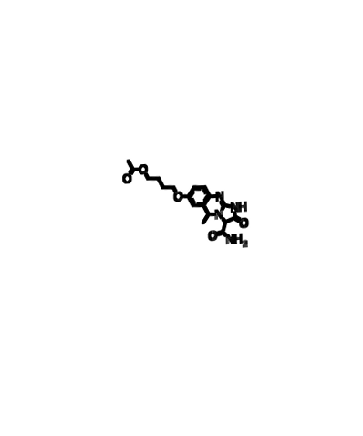 CC(=O)OCCCCOc1ccc2c(c1)C(C)N1C(=N2)NC(=O)C1C(N)=O